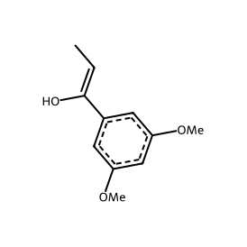 CC=C(O)c1cc(OC)cc(OC)c1